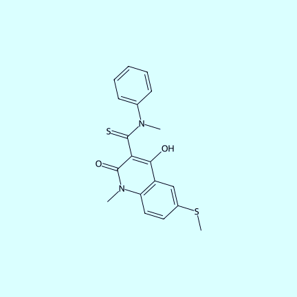 CSc1ccc2c(c1)c(O)c(C(=S)N(C)c1ccccc1)c(=O)n2C